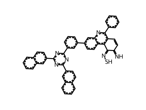 N=C1C=Cc2c(-c3ccccc3)nc3cc(-c4cccc(-c5nc(-c6ccc7ccccc7c6)nc(-c6ccc7ccccc7c6)n5)c4)ccc3c2/C1=N/S